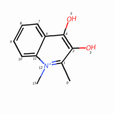 Cc1c(O)c(O)c2ccccc2[n+]1C